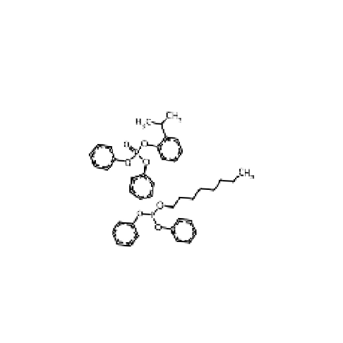 CC(C)c1ccccc1OP(=O)(Oc1ccccc1)Oc1ccccc1.CCCCCCCCOP(Oc1ccccc1)Oc1ccccc1